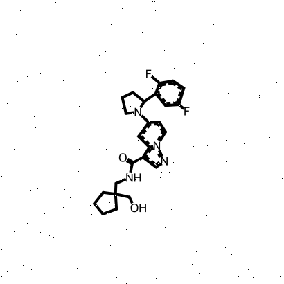 O=C(NCC1(CO)CCCC1)c1cnn2ccc(N3CCCC3c3cc(F)ccc3F)cc12